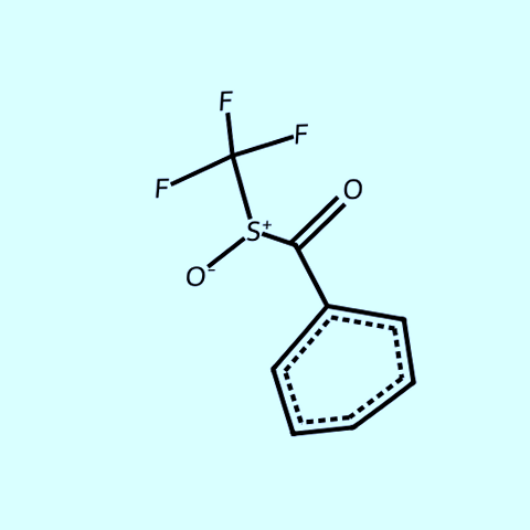 O=C(c1ccccc1)[S+]([O-])C(F)(F)F